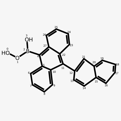 OOB(O)c1c2ccccc2c(-c2ccc3ccccc3c2)c2ccccc12